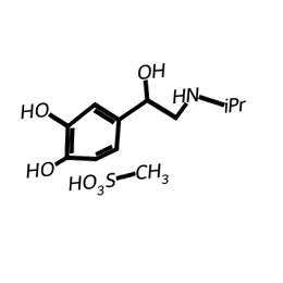 CC(C)NCC(O)c1ccc(O)c(O)c1.CS(=O)(=O)O